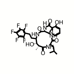 CC(C)CC1NC(=O)[C@H](C)[C@H](O)C(CCc2c(F)c(F)c(F)c(F)c2F)NC(=O)[C@@H](NC(=O)c2ncccc2O)[C@@H](C)NC1=O